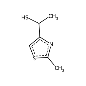 Cc1nc(C(C)S)cs1